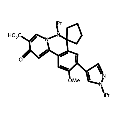 COc1cc2c(cc1-c1cnn(C(C)C)c1)C1(CCCC1)N(C(C)C)n1cc(C(=O)O)c(=O)cc1-2